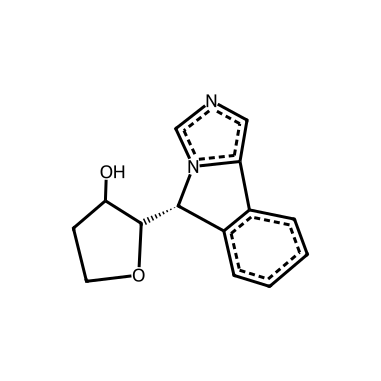 OC1CCOC1[C@H]1c2ccccc2-c2cncn21